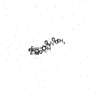 COC(=O)CCNC(=O)c1ccc(Oc2ccc(C(F)(F)F)cn2)cc1